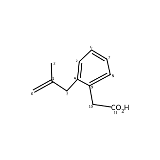 C=C(C)Cc1ccccc1CC(=O)O